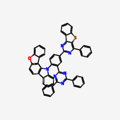 c1ccc(-c2nc(-c3ccccc3)nc(-c3cc(-c4nc(-c5ccccc5)c5sc6ccccc6c5n4)ccc3-n3c4ccccc4c4ccc5oc6ccccc6c5c43)n2)cc1